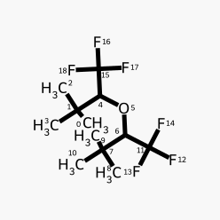 CC(C)(C)C(OC(C(C)(C)C)C(F)(F)F)C(F)(F)F